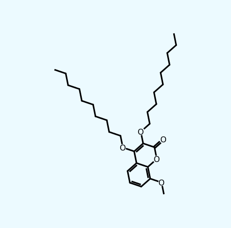 CCCCCCCCCCOc1c(OCCCCCCCCCC)c2cccc(OC)c2oc1=O